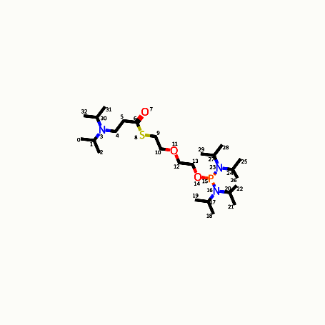 CC(C)N(CCC(=O)SCCOCCOP(N(C(C)C)C(C)C)N(C(C)C)C(C)C)C(C)C